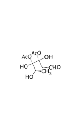 CC(=O)O[C@](O)(CC=O)[C@@](O)(OC(C)=O)[C@@H](C)O